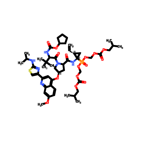 C=C[C@@H]1C[C@]1(NC(=O)C1C[C@@H](Oc2cc(-c3csc(NC(C)C)n3)nc3cc(OC)ccc23)CN1C(=O)C(NC(=O)OC1CCCC1)C(C)(C)C)P(=O)(OCOC(=O)OCC(C)C)OCOC(=O)OCC(C)C